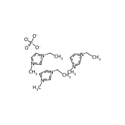 CC[n+]1ccn(C)c1.CC[n+]1ccn(C)c1.CC[n+]1ccn(C)c1.O=P([O-])([O-])[O-]